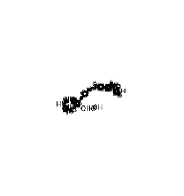 Cc1ccc(NC2CNC2)cc1C(=O)N[C@H](C)c1ccc(C#CC2CCC(CCCCC(=O)N3CCC(c4ccc5c(c4)n(C)c(=O)n5C4CCC(=O)NC4=O)CC3)CC2)c2ccccc12.O=CO